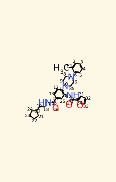 Cc1ccccc1N1CCN(c2ccc(C(=O)NCCC3CCCC3)cc2NC(=O)c2ccco2)CC1